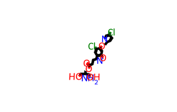 NC(CO)(CO)COC(=O)CCc1noc2cc(OCc3ccc(Cl)cn3)c(Cl)cc12